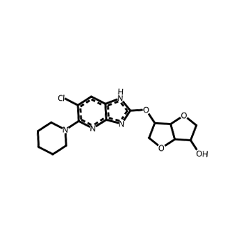 OC1COC2C(Oc3nc4nc(N5CCCCC5)c(Cl)cc4[nH]3)COC12